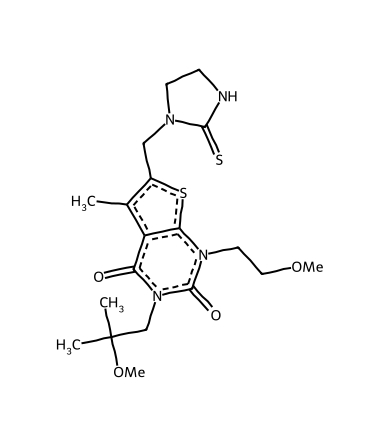 COCCn1c(=O)n(CC(C)(C)OC)c(=O)c2c(C)c(CN3CCNC3=S)sc21